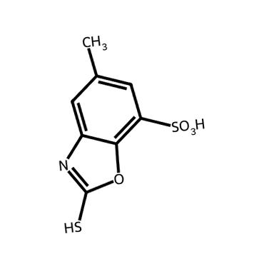 Cc1cc(S(=O)(=O)O)c2oc(S)nc2c1